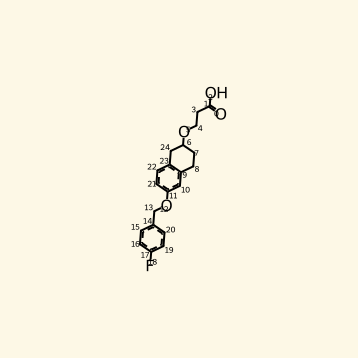 O=C(O)CCOC1CCc2cc(OCc3ccc(F)cc3)ccc2C1